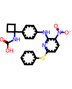 O=C(O)NC1(c2ccc(Nc3nc(Sc4ccccc4)ccc3[N+](=O)[O-])cc2)CCC1